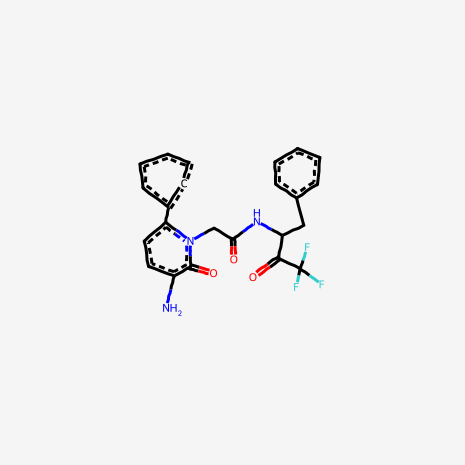 Nc1ccc(-c2ccccc2)n(CC(=O)NC(Cc2ccccc2)C(=O)C(F)(F)F)c1=O